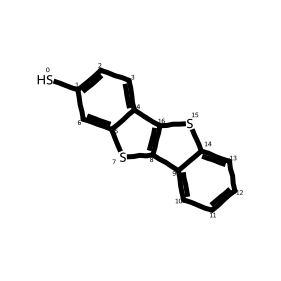 Sc1ccc2c(c1)sc1c3ccccc3sc21